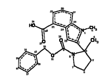 Cn1c(C2(C)CCCN2C(=O)OCc2ccccc2)cc2c(C(=O)O)cccc21